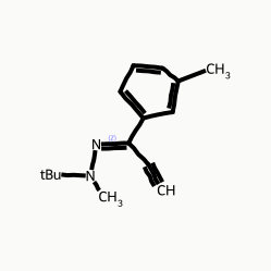 C#C/C(=N\N(C)C(C)(C)C)c1cccc(C)c1